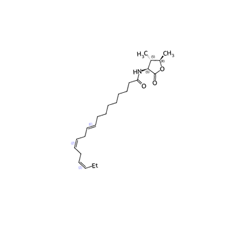 CC/C=C\C/C=C\C/C=C/CCCCCCCC(=O)N[C@@H]1C(=O)O[C@H](C)[C@H]1C